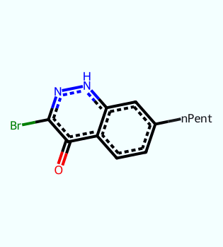 CCCCCc1ccc2c(=O)c(Br)n[nH]c2c1